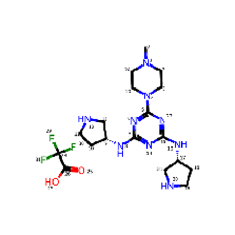 CN1CCN(c2nc(N[C@@H]3CCNC3)nc(N[C@@H]3CCNC3)n2)CC1.O=C(O)C(F)(F)F